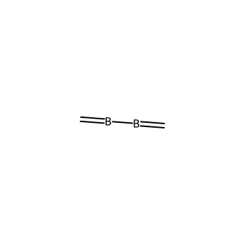 C=BB=C